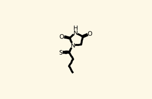 CCCC(=S)N1CC(=O)NC1=O